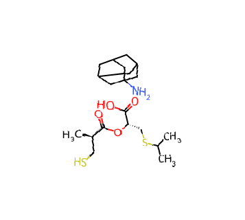 CC(C)SC[C@H](OC(=O)[C@H](C)CS)C(=O)O.NC12CC3CC(CC(C3)C1)C2